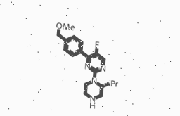 COCc1ccc(-c2nc(N3CCNCC3C(C)C)ncc2F)cc1